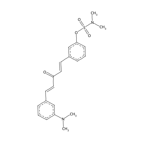 CN(C)c1cccc(/C=C/C(=O)/C=C/c2cccc(OS(=O)(=O)N(C)C)c2)c1